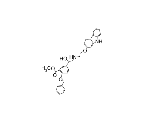 COC(=O)c1cc(C(O)CNCCOc2ccc3c(c2)[nH]c2ccccc23)ccc1OCc1ccccc1